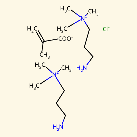 C=C(C)C(=O)[O-].C[N+](C)(C)CCCN.C[N+](C)(C)CCCN.[Cl-]